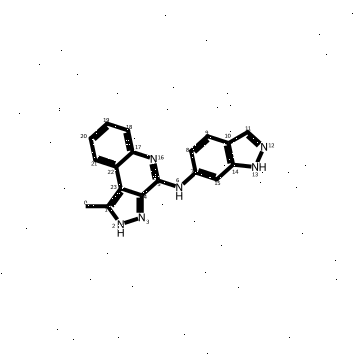 Cc1[nH]nc2c(Nc3ccc4cn[nH]c4c3)nc3ccccc3c12